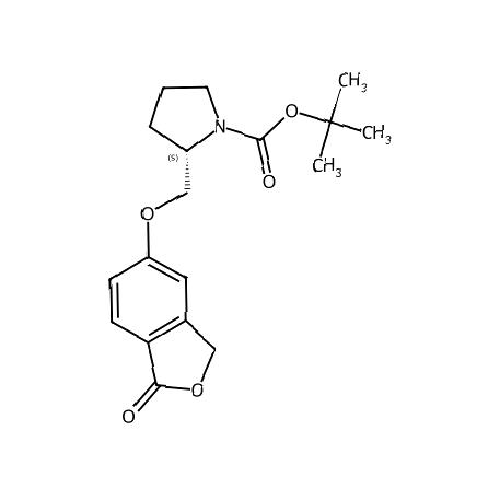 CC(C)(C)OC(=O)N1CCC[C@H]1COc1ccc2c(c1)COC2=O